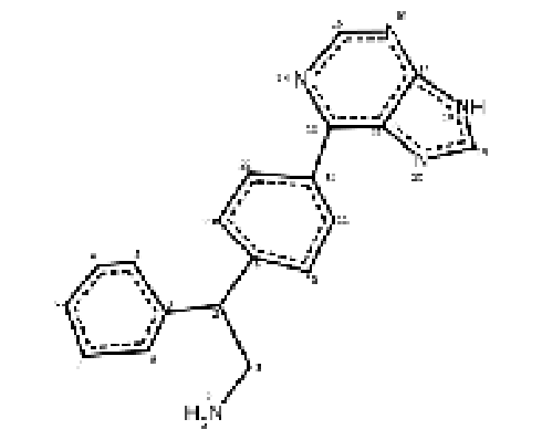 NCC(c1ccccc1)c1ccc(-c2ncnc3[nH]cnc23)cc1